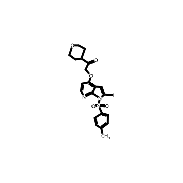 Cc1ccc(S(=O)(=O)n2c(I)cc3c(OCC(=O)C4CCOCC4)ccnc32)cc1